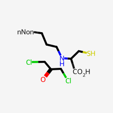 CCCCCCCCCCCCNC(CS)C(=O)O.O=C(CCl)CCl